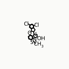 Cc1nc2cc(O[C@H]3c4cc(Cl)cc(Cl)c4C[C@@H]3N3CC[C@@H](O)C3)ccc2s1